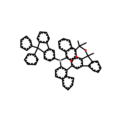 CC(C)(C)c1ccc(N(c2ccc3c(c2)-c2ccccc2C3(c2ccccc2)c2ccccc2)c2ccc3ccccc3c2-c2ccc3c(c2)-c2ccccc2C3(C)C)c2ccccc12